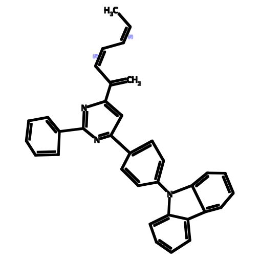 C=C(/C=C\C=C/C)c1cc(-c2ccc(-n3c4ccccc4c4ccccc43)cc2)nc(-c2ccccc2)n1